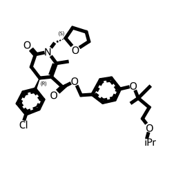 CC1=C(C(=O)OCc2ccc(OC(C)(C)CCOC(C)C)cc2)[C@@H](c2ccc(Cl)cc2)CC(=O)N1C[C@@H]1CCCO1